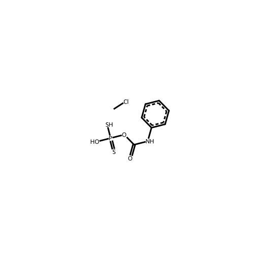 CCl.O=C(Nc1ccccc1)OP(O)(=S)S